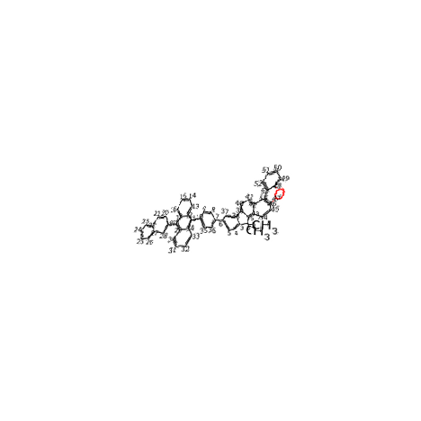 CC1(C)c2ccc(-c3ccc(-c4c5ccccc5c(-c5ccc6ccccc6c5)c5ccccc45)cc3)cc2-c2ccc3c(ccc4oc5ccccc5c43)c21